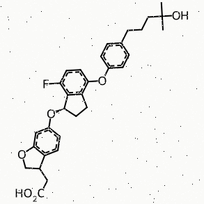 CC(C)(O)CCCc1ccc(Oc2ccc(F)c3c2CC[C@H]3Oc2ccc3c(c2)OCC3CC(=O)O)cc1